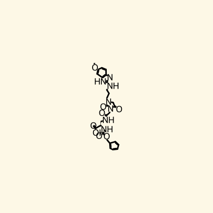 COc1ccc2nc(NCCCN3CC(=O)N(CC(=O)NC[C@H](NC(=O)OCc4ccccc4)C(=O)O)C3=O)[nH]c2c1